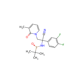 Cc1cccn(CC(C#N)(N[S@+]([O-])C(C)(C)C)c2ccc(F)c(F)c2)c1=O